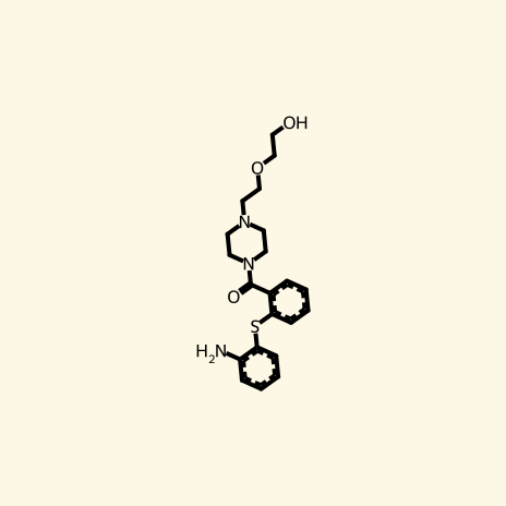 Nc1ccccc1Sc1ccccc1C(=O)N1CCN(CCOCCO)CC1